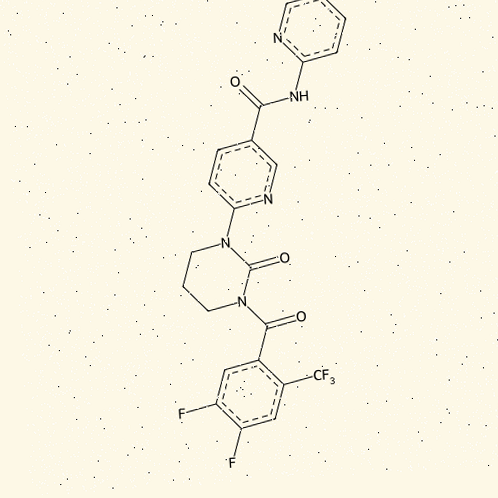 O=C(Nc1ccccn1)c1ccc(N2CCCN(C(=O)c3cc(F)c(F)cc3C(F)(F)F)C2=O)nc1